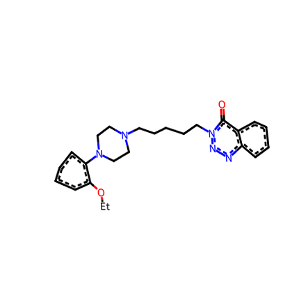 CCOc1ccccc1N1CCN(CCCCCn2nnc3ccccc3c2=O)CC1